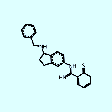 N=C(Nc1ccc2c(c1)CCC2NCc1ccccc1)C1=CC=CCC1=S